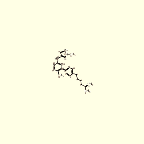 C=C(C)CCCCc1ccc(-c2nc(Nc3cnn(C)c3)ncc2C)cc1